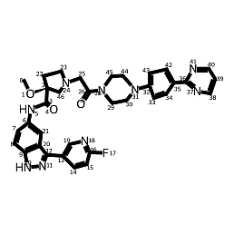 CO[C@@]1(C(=O)Nc2ccc3[nH]nc(-c4ccc(F)nc4)c3c2)CCN(CC(=O)N2CCN(c3ccc(-c4ncccn4)cc3)CC2)C1